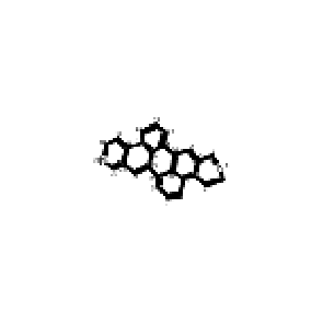 c1cc2c3ccncc3cc3c4cccc5c6ccncc6cc(c(c1)c23)c54